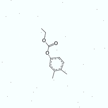 CCOC(=O)Oc1ccc(C)c(C)c1